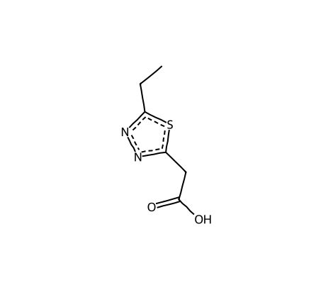 CCc1nnc(CC(=O)O)s1